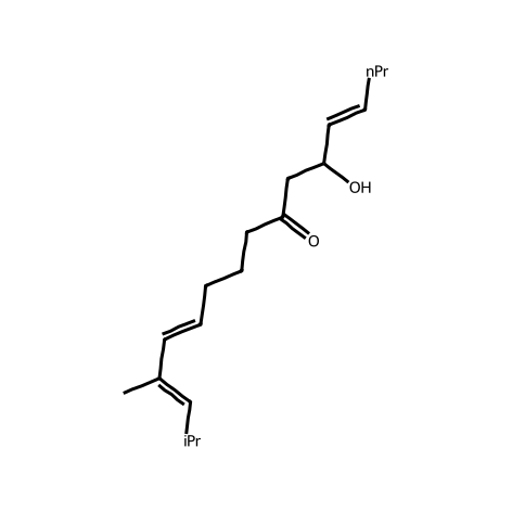 CCCC=CC(O)CC(=O)CCCC=CC(C)=CC(C)C